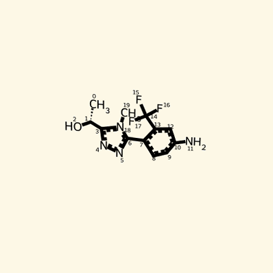 C[C@@H](O)c1nnc(-c2ccc(N)cc2C(F)(F)F)n1C